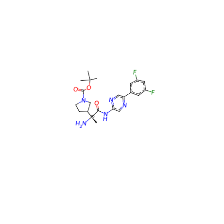 CC(C)(C)OC(=O)N1CCC([C@@](C)(N)C(=O)Nc2cnc(-c3cc(F)cc(F)c3)cn2)C1